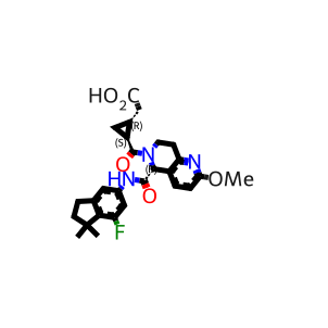 COc1ccc2c(n1)CCN(C(=O)[C@H]1C[C@@H]1CC(=O)O)[C@H]2C(=O)Nc1cc(F)c2c(c1)CCC2(C)C